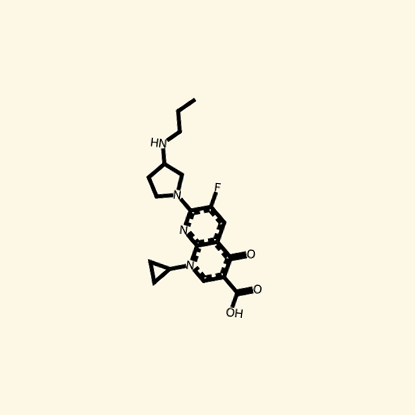 CCCNC1CCN(c2nc3c(cc2F)c(=O)c(C(=O)O)cn3C2CC2)C1